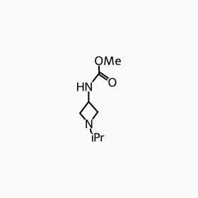 COC(=O)NC1CN(C(C)C)C1